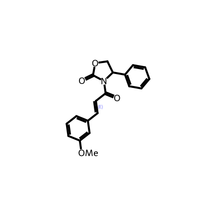 COc1cccc(/C=C/C(=O)N2C(=O)OCC2c2ccccc2)c1